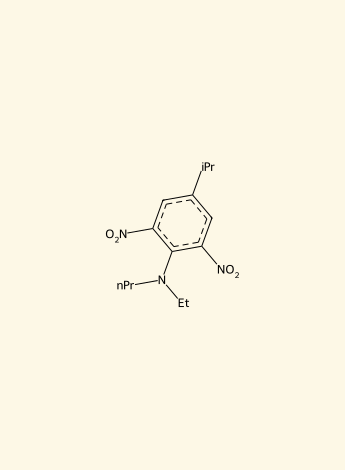 CCCN(CC)c1c([N+](=O)[O-])cc(C(C)C)cc1[N+](=O)[O-]